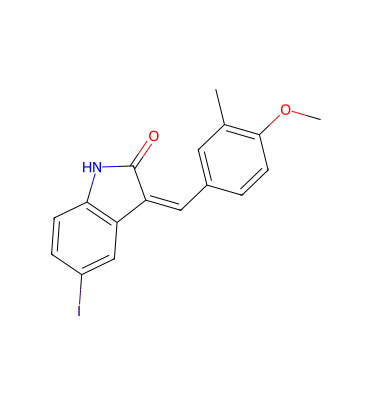 COc1ccc(C=C2C(=O)Nc3ccc(I)cc32)cc1C